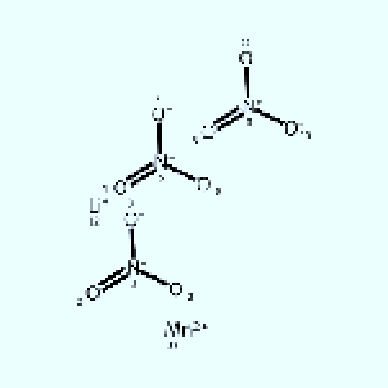 O=[N+]([O-])[O-].O=[N+]([O-])[O-].O=[N+]([O-])[O-].[Li+].[Mn+2]